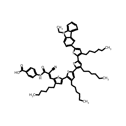 CCCCCCc1cc(-c2sc(-c3sc(-c4sc(-c5ccc6c(c5)c5ccccc5n6CC)cc4CCCCCC)cc3CCCCCC)cc2CCCCCC)sc1/C=C(\C#N)C(=O)Nc1ccc(C(=O)O)cc1